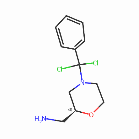 NC[C@H]1CN(C(Cl)(Cl)c2ccccc2)CCO1